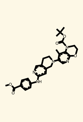 COC(=O)c1ccc(Nc2cc3c(cn2)CCN(c2cnc4c(c2C)N(C(=O)OC(C)(C)C)CCO4)C3)cc1